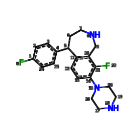 Fc1ccc(C2CCNCc3c2ccc(N2CCNCC2)c3F)cc1